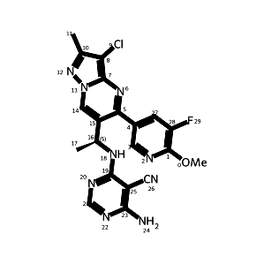 COc1ncc(-c2nc3c(Cl)c(C)nn3cc2[C@H](C)Nc2ncnc(N)c2C#N)cc1F